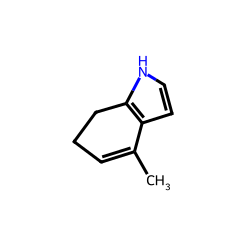 CC1=CCCc2[nH]ccc21